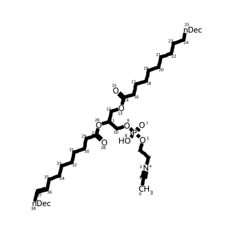 CC#[N+]CCOP(=O)(O)OCC(COC(=O)CCCCCCCCCCCCCCCCCCC)OC(=O)CCCCCCC/C=C/CCCCCCCCCC